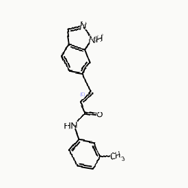 Cc1cccc(NC(=O)/C=C/c2ccc3cn[nH]c3c2)c1